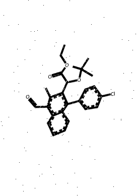 CCOC(=O)C(OC(C)(C)C)c1c(C)c(C=O)c2ccccc2c1-c1ccc(Cl)cc1